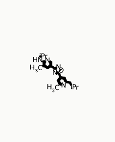 Cc1cc(-c2nc(-c3cnc(NC(C)C)c(C)c3)no2)cc(CC(C)C)n1